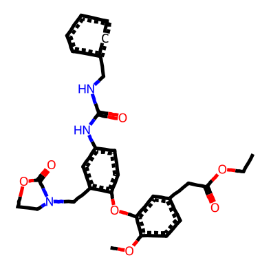 CCOC(=O)Cc1ccc(OC)c(Oc2ccc(NC(=O)NCc3ccccc3)cc2CN2CCOC2=O)c1